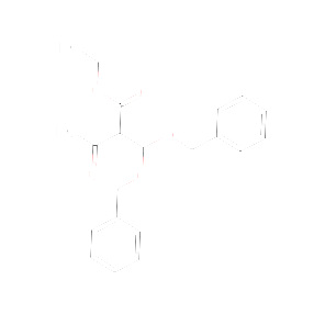 CCOC(=O)C(C(C)=O)C(OCc1ccccc1)OCc1ccccc1